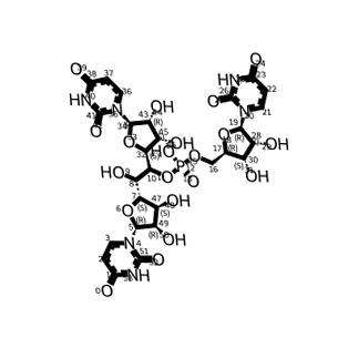 O=c1ccn([C@@H]2O[C@H](C(O)C(OP(=O)(O)OC[C@H]3O[C@@H](n4ccc(=O)[nH]c4=O)[C@H](O)[C@@H]3O)[C@H]3O[C@@H](n4ccc(=O)[nH]c4=O)[C@H](O)[C@@H]3O)[C@@H](O)[C@H]2O)c(=O)[nH]1